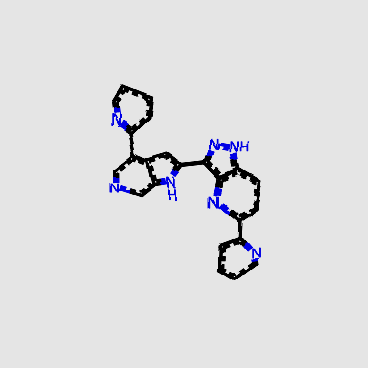 c1ccc(-c2ccc3[nH]nc(-c4cc5c(-c6ccccn6)cncc5[nH]4)c3n2)nc1